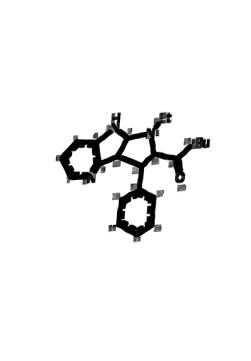 CCN1C2Nc3cccnc3C2C(c2ccccc2)C1C(=O)C(C)(C)C